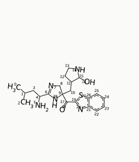 CC(C)CC(N)C1=NCC(CC2CCNC2O)(C(=O)c2nc3ccccc3s2)N1